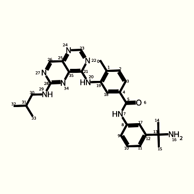 Cc1ccc(C(=O)Nc2cccc(C(C)(C)N)c2)cc1Nc1ncnc2cnc(NCC(C)C)nc12